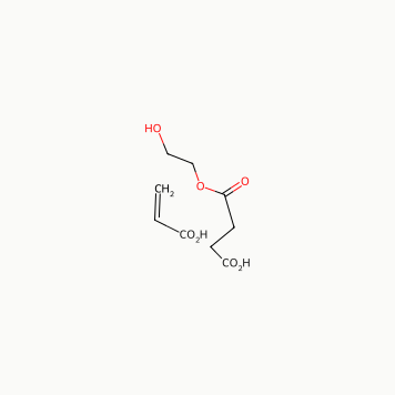 C=CC(=O)O.O=C(O)CCC(=O)OCCO